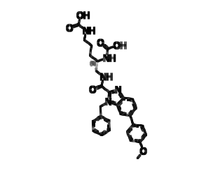 COc1ccc(-c2ccc3nc(C(=O)NC[C@H](CCCNC(=O)O)NC(=O)O)n(Cc4ccccc4)c3c2)cc1